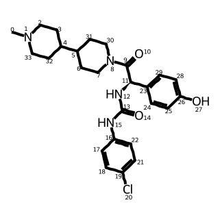 CN1CCC(C2CCN(C(=O)[C@H](NC(=O)Nc3ccc(Cl)cc3)c3ccc(O)cc3)CC2)CC1